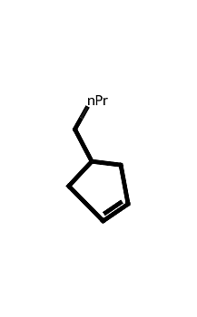 CCCCC1CC=CC1